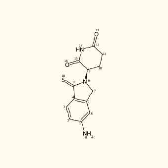 Nc1ccc2c(c1)CN([C@@H]1CCC(=O)NC1=O)C2=S